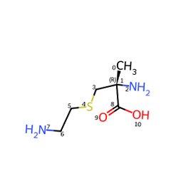 C[C@](N)(CSCCN)C(=O)O